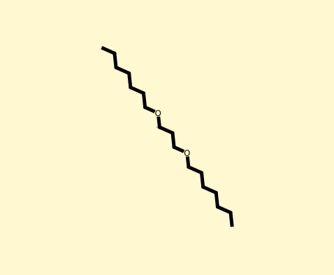 CCCCCCCO[CH]CCOCCCCCCC